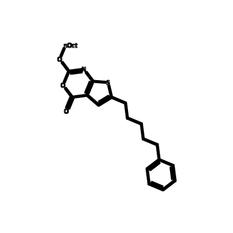 CCCCCCCCOc1nc2sc(CCCCCc3ccccc3)cc2c(=O)o1